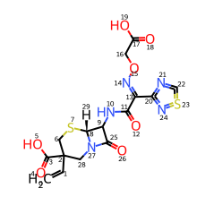 C=CC1(C(=O)O)CS[C@@H]2C(NC(=O)C(=NOCC(=O)O)c3ncsn3)C(=O)N2C1